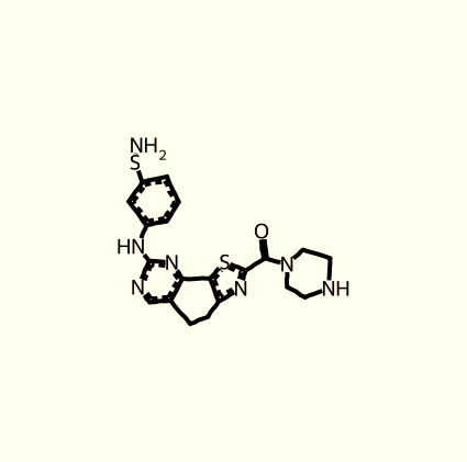 NSc1cccc(Nc2ncc3c(n2)-c2sc(C(=O)N4CCNCC4)nc2CC3)c1